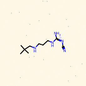 CC(C)(C)CNCCCN/C(N)=N\C#N